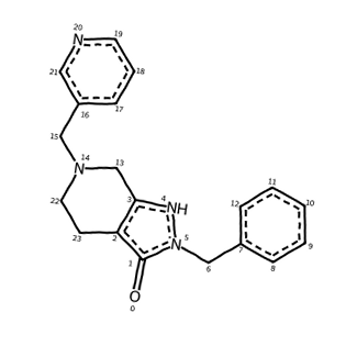 O=c1c2c([nH]n1Cc1ccccc1)CN(Cc1cccnc1)CC2